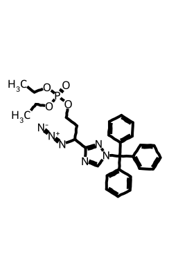 CCOP(=O)(OCC)OCCC(N=[N+]=[N-])c1ncn(C(c2ccccc2)(c2ccccc2)c2ccccc2)n1